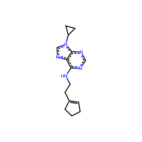 C1=C(CCNc2ncnc3c2ncn3C2CC2)CCC1